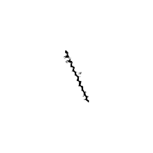 C=CC(=O)OC(=O)CCCCCCCCCCCCCCCCC.[Zn]